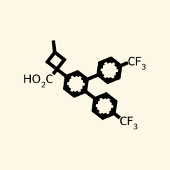 CC1CC(C(=O)O)(c2ccc(-c3ccc(C(F)(F)F)cc3)c(-c3ccc(C(F)(F)F)cc3)c2)C1